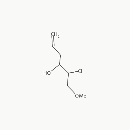 C=CCC(O)C(Cl)COC